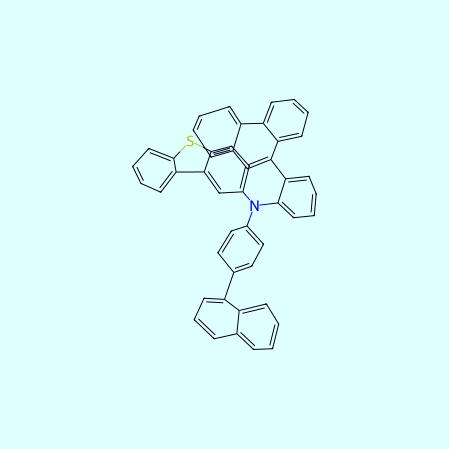 c1ccc(N(c2ccc(-c3cccc4ccccc34)cc2)c2ccc3sc4ccccc4c3c2)c(-c2cc3ccccc3c3ccccc23)c1